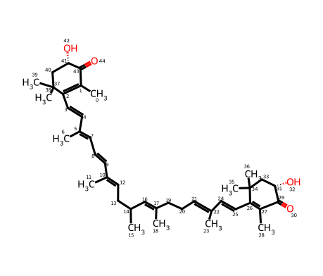 CC1=C(/C=C/C(C)=C/C=C/C(C)=C/CC(C)/C=C(\C)CC/C=C(C)/C=C/C2=C(C)C(=O)[C@@H](O)CC2(C)C)C(C)(C)C[C@H](O)C1=O